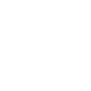 CCN1CCc2c(Cl)ccc3sc(/C=C/C(=O)O)c(c23)C1